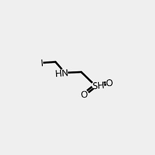 O=[SH](=O)CNCI